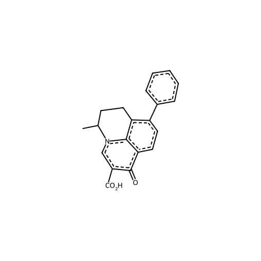 CC1CCc2c(-c3ccccc3)ccc3c(=O)c(C(=O)O)cn1c23